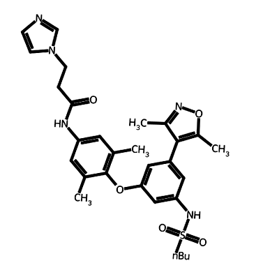 CCCCS(=O)(=O)Nc1cc(Oc2c(C)cc(NC(=O)CCn3ccnc3)cc2C)cc(-c2c(C)noc2C)c1